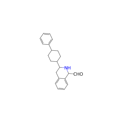 O=CC1NC(C2CCC(c3ccccc3)CC2)Cc2ccccc21